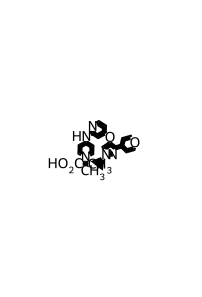 CC(C)(C(=O)O)N1CCC(Nc2cc(Oc3cn(C4CC4)nc3C3CCOCC3)ccn2)CC1